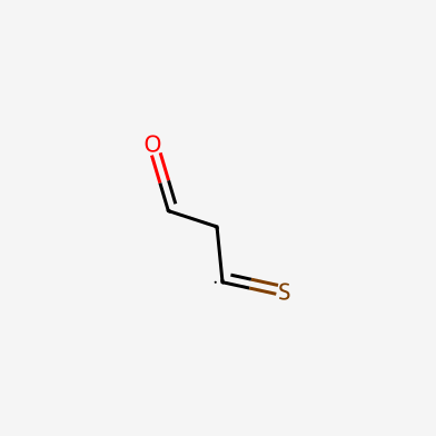 O=CC[C]=S